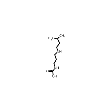 CC(C)CCNCCCNC(=O)O